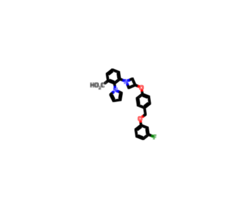 O=C(O)c1cccc(N2CC(Oc3ccc(COc4cccc(F)c4)cc3)C2)c1-n1cccc1